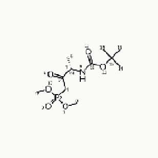 COP(=O)(CC(=O)[C@H](C)NC(=O)OC(C)(C)C)OC